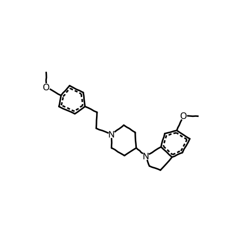 COc1ccc(CCN2CCC(N3CCc4ccc(OC)cc43)CC2)cc1